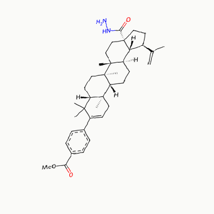 C=C(C)[C@@H]1CC[C@]2(C(=O)NN)CC[C@]3(C)[C@H](CC[C@@H]4[C@@]5(C)CC=C(c6ccc(C(=O)OC)cc6)C(C)(C)[C@@H]5CC[C@]43C)[C@@H]12